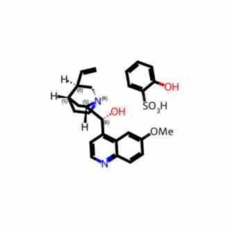 C=C[C@H]1C[N@]2CC[C@H]1C[C@H]2[C@H](O)c1ccnc2ccc(OC)cc12.O=S(=O)(O)c1ccccc1O